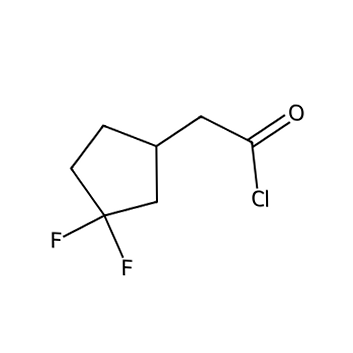 O=C(Cl)CC1CCC(F)(F)C1